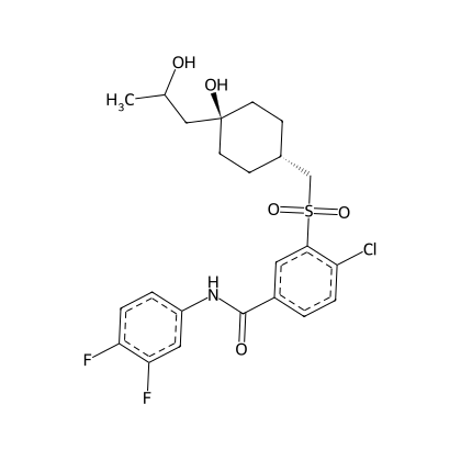 CC(O)C[C@]1(O)CC[C@H](CS(=O)(=O)c2cc(C(=O)Nc3ccc(F)c(F)c3)ccc2Cl)CC1